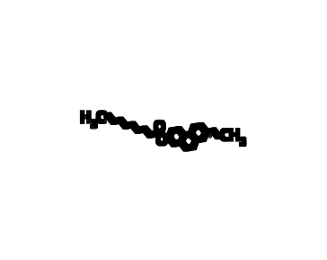 CCCCCCCCCC(=O)O[C@@H]1CCC2C(CCC3C[C@H](CCC)CCC32)C1